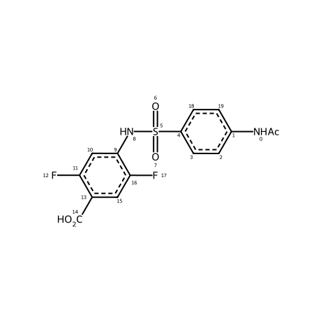 CC(=O)Nc1ccc(S(=O)(=O)Nc2cc(F)c(C(=O)O)cc2F)cc1